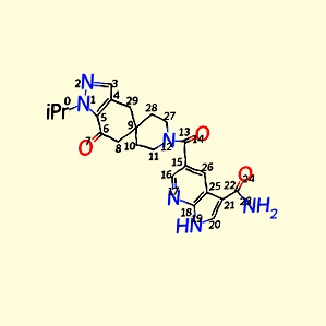 CC(C)n1ncc2c1C(=O)CC1(CCN(C(=O)c3cnc4[nH]cc(C(N)=O)c4c3)CC1)C2